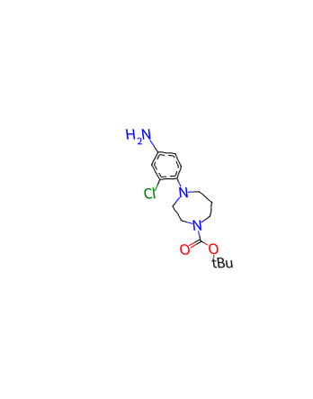 CC(C)(C)OC(=O)N1CCCN(c2ccc(N)cc2Cl)CC1